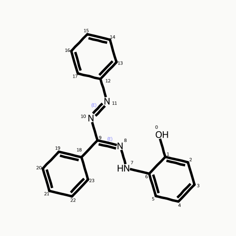 Oc1ccccc1N/N=C(/N=N/c1ccccc1)c1ccccc1